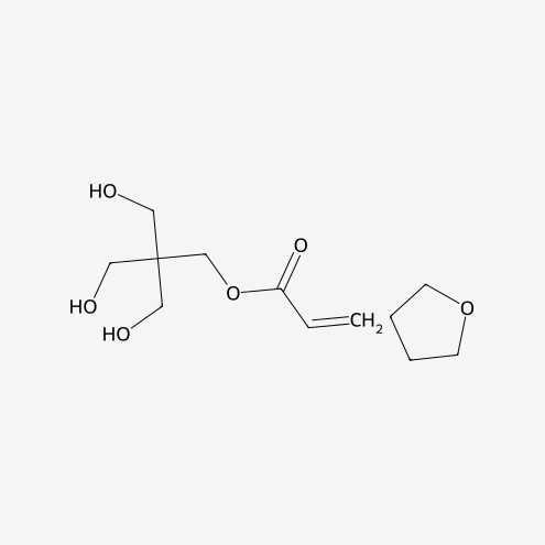 C1CCOC1.C=CC(=O)OCC(CO)(CO)CO